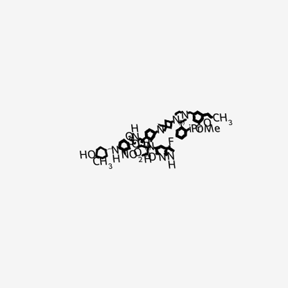 COc1cc(CN2CCN(C3CC4(C3)CN(c3ccc(C(=O)NS(=O)(=O)c5ccc(NC[C@H]6CC[C@](C)(O)CC6)c([N+](=O)[O-])c5)c(N5c6cc7c(F)c[nH]c7nc6O[C@H]6COCC[C@@H]65)c3)C4)[C@H](c3ccccc3C(C)C)C2)cc2cc(C)oc12